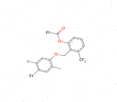 CCC(=O)Oc1cccc(C(F)(F)F)c1COc1cc(I)c(CC)cc1C